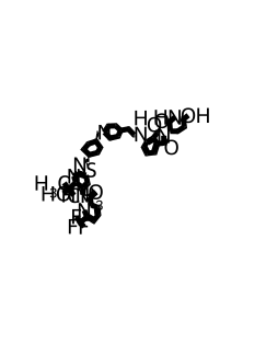 CC(C)(O)c1nc2nc([C@H]3CC[C@H](CN4CCC(CCNc5cccc6c5C(=O)N(C5CCC(O)NC5=O)C6=O)CC4)CC3)sc2cc1NC(=O)c1cccc(C(F)(F)F)n1